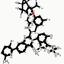 Cc1ccc(F)c(-c2ccc3c(=O)n(-c4ccc(Cl)c5c(NS(C)(=O)=O)nn(C)c45)c([C@H](Cc4cc(F)cc(F)c4)NC(=O)Cn4nc(C(F)F)c5c4C(F)(F)[C@@H]4C[C@H]54)nc3c2)n1